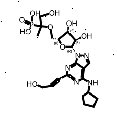 CC(CO)(OC[C@H]1O[C@@H](n2ncc3c(NC4CCCC4)nc(C#CCO)nc32)[C@H](O)[C@@H]1O)P(=O)(O)O